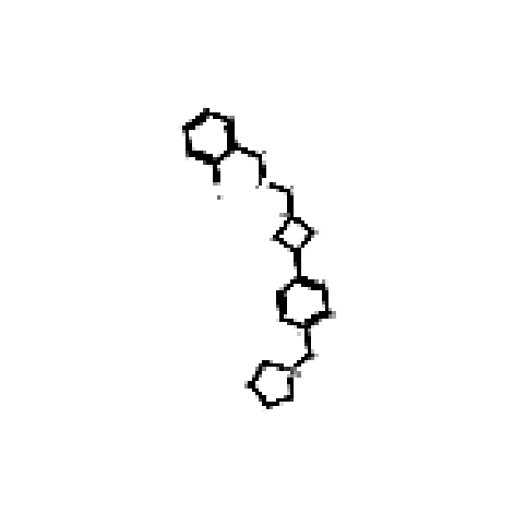 Fc1ccccc1COCC1CC(c2ccc(CN3CCCC3)cc2)C1